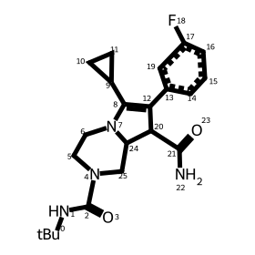 CC(C)(C)NC(=O)N1CCN2C(C3CC3)=C(c3cccc(F)c3)C(C(N)=O)C2C1